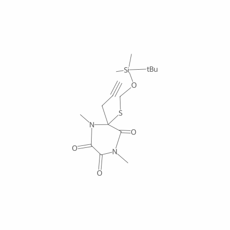 C#CCC1(SCO[Si](C)(C)C(C)(C)C)C(=O)N(C)C(=O)C(=O)N1C